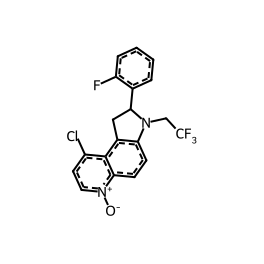 [O-][n+]1ccc(Cl)c2c3c(ccc21)N(CC(F)(F)F)C(c1ccccc1F)C3